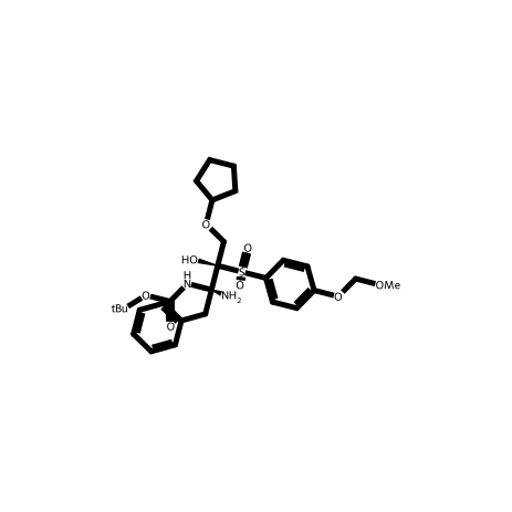 COCOc1ccc(S(=O)(=O)[C@@](O)(COC2CCCC2)[C@](N)(Cc2ccccc2)NC(=O)OC(C)(C)C)cc1